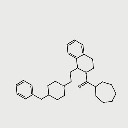 O=C(C1CCCCCC1)N1CCc2ccccc2C1CCN1CCC(Cc2ccccc2)CC1